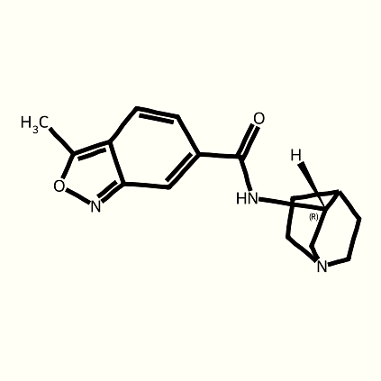 Cc1onc2cc(C(=O)N[C@H]3CN4CCC3CC4)ccc12